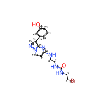 O=C(NCCBr)NCCNc1ccn2ncc(-c3cccc(O)c3)c2n1